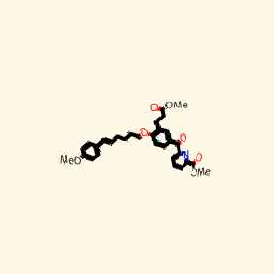 COC(=O)CCc1cc(C(=O)c2cccc(C(=O)OC)n2)ccc1OCCCCC=Cc1ccc(OC)cc1